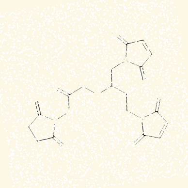 O=C(COC(CCN1C(=O)C=CC1=O)CN1C(=O)C=CC1=O)ON1C(=O)CCC1=O